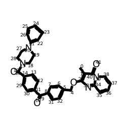 Cc1c(OCc2ccc(C(=O)c3ccc(C(=O)N4CCN(c5ccccc5)CC4)cc3)cc2)nc2ccccn2c1=O